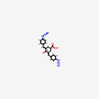 [N-]=[N+]=Nc1ccc(C=C2CC(C(=O)O)CC(=Cc3ccc(N=[N+]=[N-])cc3)C2=O)cc1